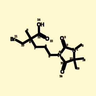 CN1C(=O)N(CCCC(C)(CBr)C(=O)O)C(=O)C1(C)C